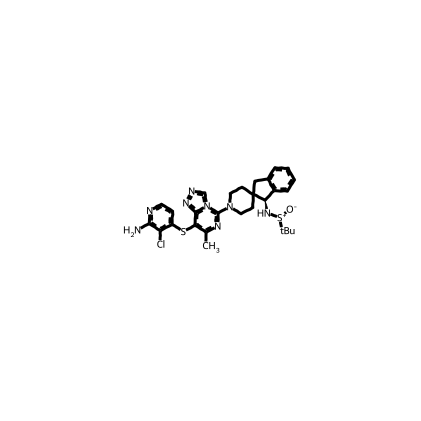 Cc1nc(N2CCC3(CC2)Cc2ccccc2[C@H]3N[S+]([O-])C(C)(C)C)n2cnnc2c1Sc1ccnc(N)c1Cl